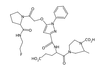 CC1CN(C(=O)C(CCC(=O)O)NC(=O)c2cc(OCC(=O)N3CCCC3C(=O)NCCF)n(-c3ccccc3)n2)CCN1C(=O)O